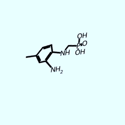 Cc1ccc(NCP(=O)(O)O)c(N)c1